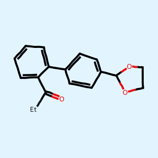 CCC(=O)c1ccccc1-c1ccc(C2OCCO2)cc1